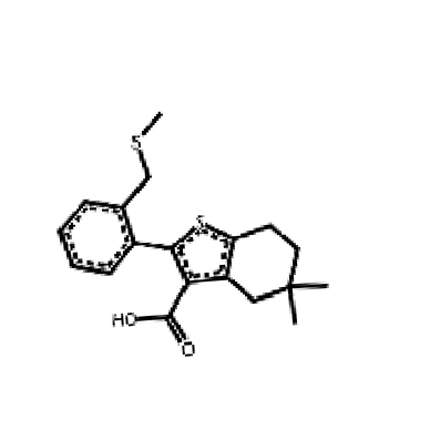 CSCc1ccccc1-c1sc2c(c1C(=O)O)CC(C)(C)CC2